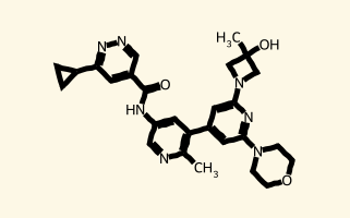 Cc1ncc(NC(=O)c2cnnc(C3CC3)c2)cc1-c1cc(N2CCOCC2)nc(N2CC(C)(O)C2)c1